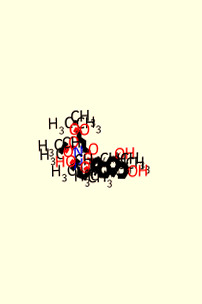 CC(C)(C)OC(=O)CCC(NC(=O)OC(C)(C)C)C(=O)O[C@H]1C[C@@]2(C)C3C[C@H](O)[C@H]4C(C)(C)[C@@H](O)CC[C@@]45C[C@@]35CC[C@]2(C)[C@H]1[C@@]1(C)CC[C@@H](C(C)(C)O)O1